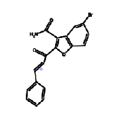 NC(=O)c1c(C(=O)/C=C/c2ccccc2)oc2ccc(Br)cc12